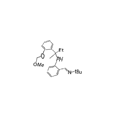 CCC(C)(Pc1ccccc1/C=N/C(C)(C)C)c1ccccc1OCOC